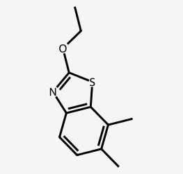 CCOc1nc2ccc(C)c(C)c2s1